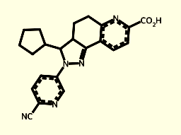 N#Cc1ccc(N2N=C3c4ccc(C(=O)O)nc4CCC3C2C2CCCC2)cn1